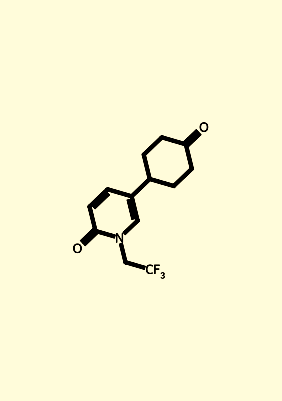 O=C1CCC(c2ccc(=O)n(CC(F)(F)F)c2)CC1